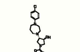 CC(C)(C)OC(=O)N1C[C@H](O)[C@@H](N2CCCN(c3ccc(Cl)cc3)CC2)C1